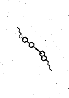 CCCCCc1ccc2cc(C#Cc3ccc(-c4ccc(OCCCC)cc4)cc3)ccc2c1